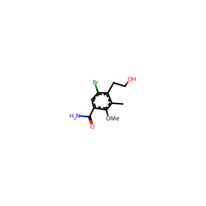 COc1c(C(N)=O)cc(Br)c(CCO)c1C